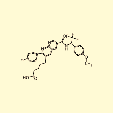 COc1ccc([C@@H](NC(=O)c2cnc3nc(-c4ccc(F)cc4)c(CCCCC(=O)O)cc3c2)C(F)(F)F)cc1